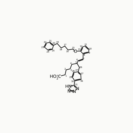 O=C(O)CCCCC(C=Cc1ccccc1OCCCCCc1ccccc1)Cc1ccc(-c2nnn[nH]2)cc1